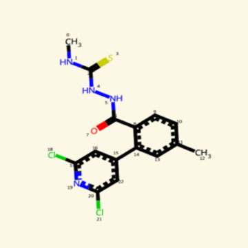 CNC(=S)NNC(=O)c1ccc(C)cc1-c1cc(Cl)nc(Cl)c1